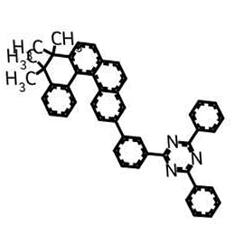 CC1(C)c2ccccc2-c2c(ccc3ccc4cc(-c5cccc(-c6nc(-c7ccccc7)nc(-c7ccccc7)n6)c5)ccc4c23)C1(C)C